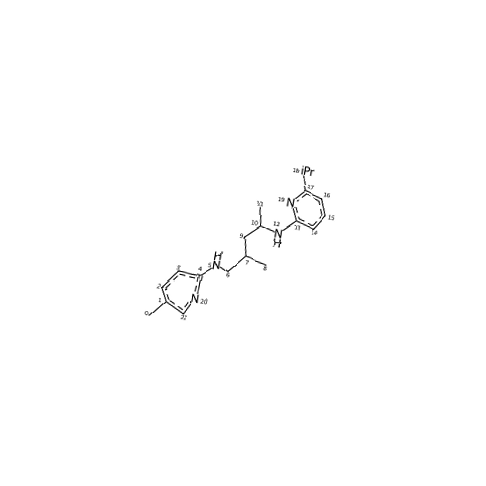 Cc1ccc(NCC(C)CC(C)Nc2cccc(C(C)C)n2)nc1